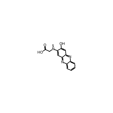 CN(CC(=O)O)c1cc2nc3ccccc3nc2cc1O